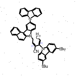 C/C=C(\C(C#N)=C/Cn1c2ccc(-n3c4ccccc4c4ccccc43)cc2c2c3ccccc3ccc21)n1c2ccc(C(C)(C)C)cc2c2cc(C(C)(C)C)ccc21